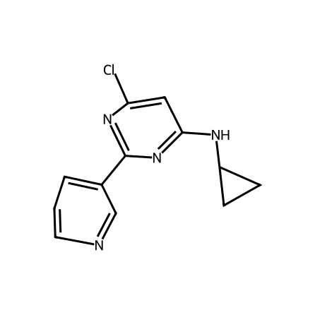 Clc1cc(NC2CC2)nc(-c2cccnc2)n1